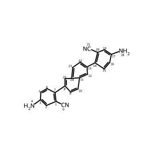 N#Cc1cc(N)ccc1-c1ccc2cc(-c3ccc(N)cc3C#N)ccc2c1